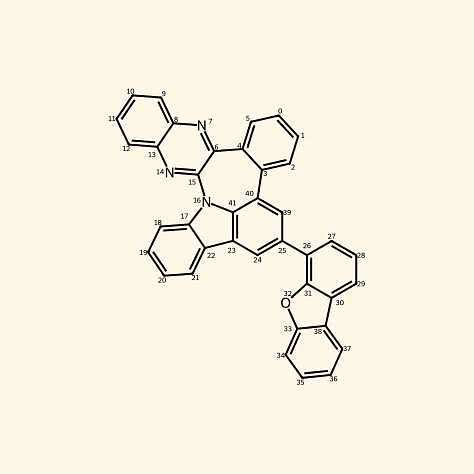 c1ccc2c(c1)-c1nc3ccccc3nc1-n1c3ccccc3c3cc(-c4cccc5c4oc4ccccc45)cc-2c31